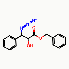 [N-]=[N+]=NC(c1ccccc1)C(O)C(=O)OCc1ccccc1